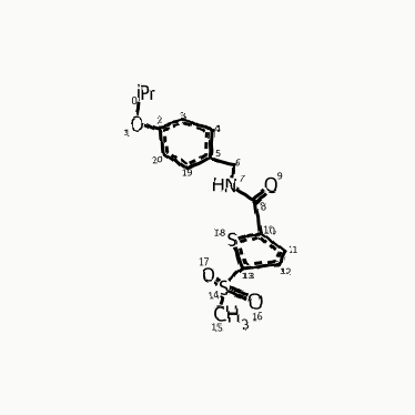 CC(C)Oc1ccc(CNC(=O)c2ccc(S(C)(=O)=O)s2)cc1